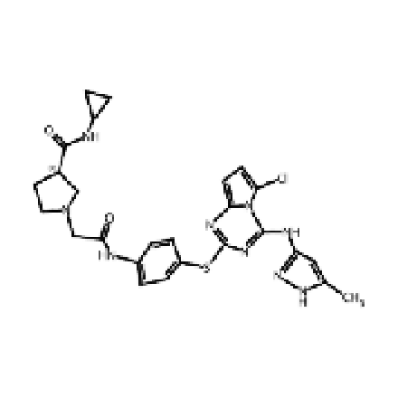 Cc1cc(Nc2nc(Sc3ccc(NC(=O)CN4CC[C@@H](C(=O)NC5CC5)C4)cc3)nc3ccc(Cl)n23)n[nH]1